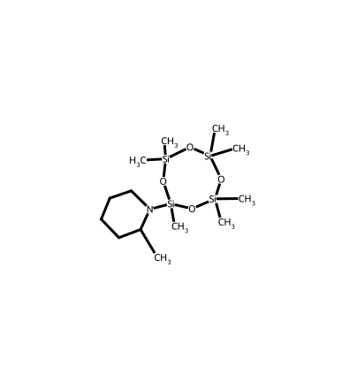 CC1CCCCN1[Si]1(C)O[Si](C)(C)O[Si](C)(C)O[Si](C)(C)O1